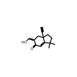 C#CC12CCC(C)(C)C1=CC(=O)/C(=C\O)C2